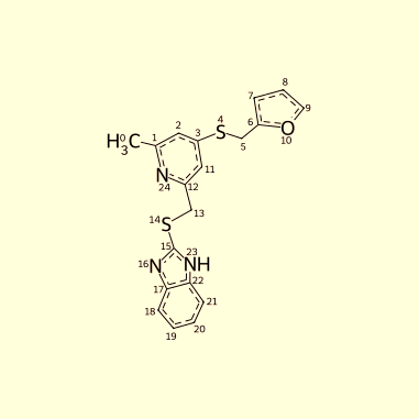 Cc1cc(SCc2ccco2)cc(CSc2nc3ccccc3[nH]2)n1